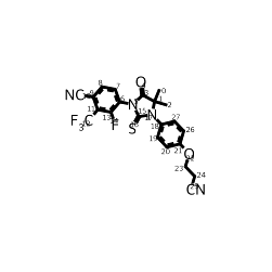 CC1(C)C(=O)N(c2ccc(C#N)c(C(F)(F)F)c2F)C(=S)N1c1ccc(OCCC#N)cc1